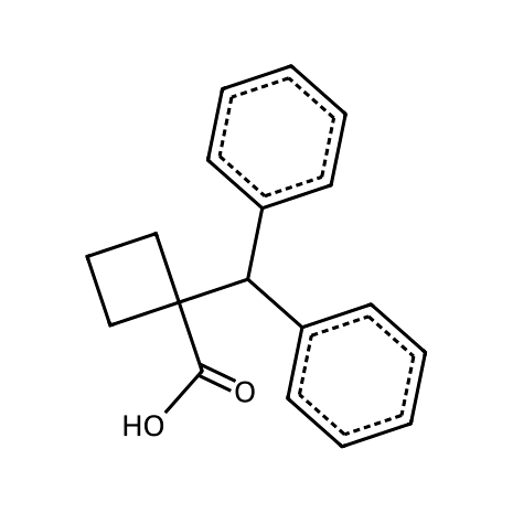 O=C(O)C1(C(c2ccccc2)c2ccccc2)CCC1